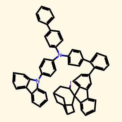 IC1CC2CC3CC(C3C2)C12c1ccccc1-c1cc(-c3ccccc3-c3ccc(N(c4ccc(-c5ccccc5)cc4)c4ccc(-n5c6ccccc6c6ccccc65)cc4)cc3)ccc12